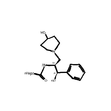 CCCCCCCC(=O)N[C@@H](CN1CCC(O)CC1)[C@H](O)c1ccccc1